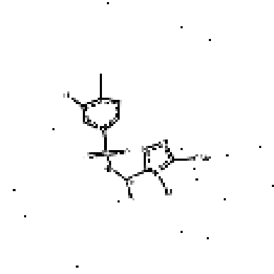 CCn1c(OC)nnc1[C@@H](C)NS(=O)(=O)c1ccc(C)c(Cl)c1